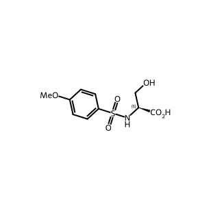 COc1ccc(S(=O)(=O)N[C@@H](CO)C(=O)O)cc1